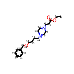 CCOC(=O)CCN1CCN(CCCCOCc2ccccc2)CC1